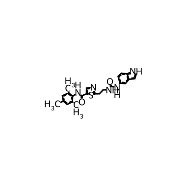 Cc1cc(C)c(NC(=O)c2cnc(CCNC(=O)Nc3ccc4[nH]ccc4c3)s2)c(C)c1